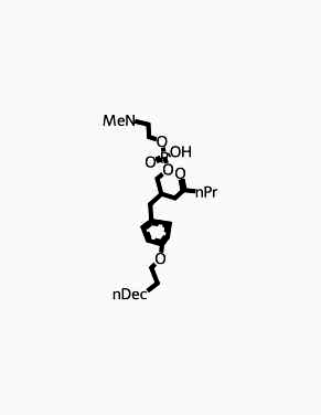 CCCCCCCCCCCCOc1ccc(CC(COP(=O)(O)OCCNC)CC(=O)CCC)cc1